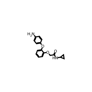 Nc1ccc(Oc2ccccc2OCC(=O)NC2CC2)cc1